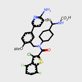 COc1ccc(-c2ccc(N)nc2)cc1CN(C(=O)c1sc2c(F)ccc(F)c2c1Cl)C1CCC(C(NC(=O)O)C(C)(C)C)CC1